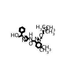 CC1(C)CCc2c(C(=O)Nc3cnn(C(CO)c4ccccc4)c3)nn(COCC[Si](C)(C)C)c2C1